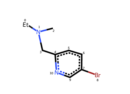 CCN(C)Cc1ccc(Br)cn1